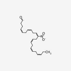 CC/C=C\C/C=C\C/C=C\C/C(=C\C/C=C\C/C=C\CC[C]=O)[N+](=O)[O-]